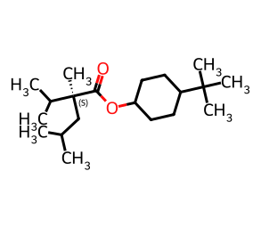 CC(C)C[C@](C)(C(=O)OC1CCC(C(C)(C)C)CC1)C(C)C